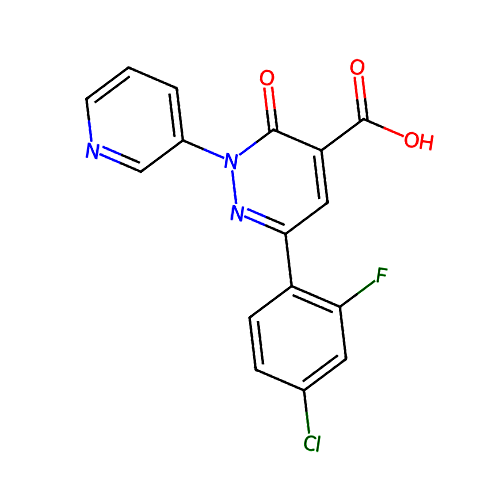 O=C(O)c1cc(-c2ccc(Cl)cc2F)nn(-c2cccnc2)c1=O